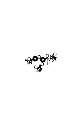 Cc1nnc(-c2ccc(Oc3cc(OCC4CCN(C)C4=O)cc(C(=O)NC4=NC(=O)C(C)(C)S4)c3)cc2)o1